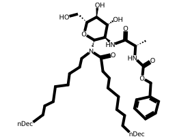 CCCCCCCCCCCCCCCCCCN(C(=O)CCCCCCCCCCCCCCCCC)[C@@H]1O[C@H](CO)[C@@H](O)[C@H](O)[C@H]1NC(=O)[C@H](C)NC(=O)OCc1ccccc1